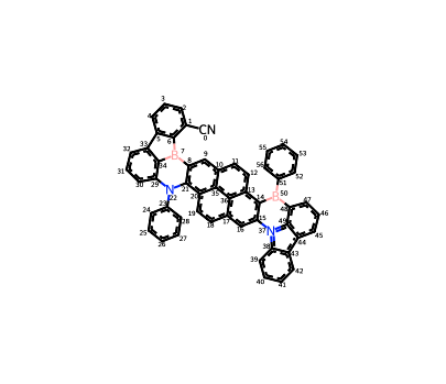 N#Cc1cccc2c1B1c3cc4ccc5c6c(cc7ccc(c3N(c3ccccc3)c3cccc-2c31)c4c75)-n1c2ccccc2c2cccc(c21)B6c1ccccc1